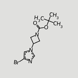 CC(C)(C)OC(=O)N1CC(n2cnc(Br)c2)C1